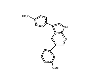 COc1cccc(-c2cnc3[nH]cc(-c4ccc(C(=O)O)cc4)c3c2)c1